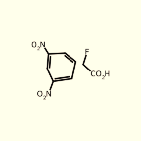 O=C(O)CF.O=[N+]([O-])c1cccc([N+](=O)[O-])c1